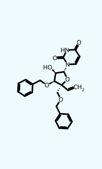 C=C[C@]1(COCc2ccccc2)O[C@@H](n2ccc(=O)[nH]c2=O)[C@H](O)[C@@H]1OCc1ccccc1